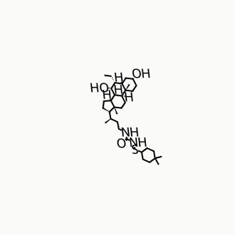 CC[C@H]1[C@@H](O)[C@@H]2[C@H](CC[C@]3(C)[C@@H]([C@H](C)CCNC(=O)NSC4CCC(C)(C)CC4)CC[C@@H]23)[C@@]2(C)CC[C@@H](O)C[C@@H]12